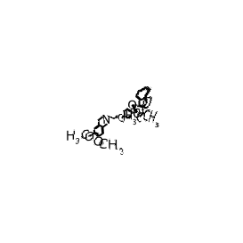 COc1cc2c(cc1OC)CN(CCCOc1ccc(S(=O)(=O)c3c(C(C)C)oc4ccccc34)cc1)CC2